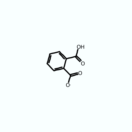 [O]C(=O)c1ccccc1C(=O)O